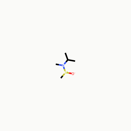 CC(C)N(C)[S+](C)[O-]